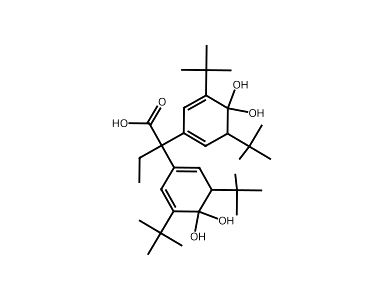 CCC(C(=O)O)(C1=CC(C(C)(C)C)C(O)(O)C(C(C)(C)C)=C1)C1=CC(C(C)(C)C)C(O)(O)C(C(C)(C)C)=C1